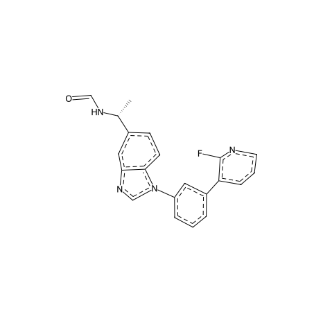 C[C@@H](NC=O)c1ccc2c(c1)ncn2-c1cccc(-c2cccnc2F)c1